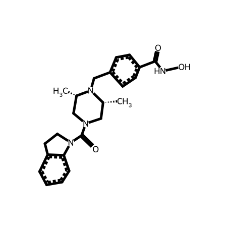 C[C@@H]1CN(C(=O)N2CCc3ccccc32)C[C@H](C)N1Cc1ccc(C(=O)NO)cc1